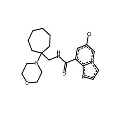 O=C(NCC1(N2CCOCC2)CCCCCC1)c1cc(Cl)cn2ccnc12